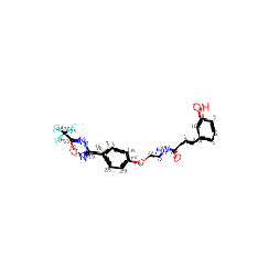 O=C(/C=C/c1cccc(O)c1)NCCOc1ccc(-c2noc(C(F)(F)F)n2)cc1